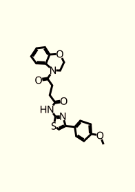 COc1ccc(-c2csc(NC(=O)CCC(=O)N3CCOc4ccccc43)n2)cc1